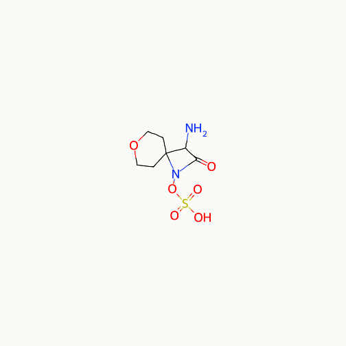 NC1C(=O)N(OS(=O)(=O)O)C12CCOCC2